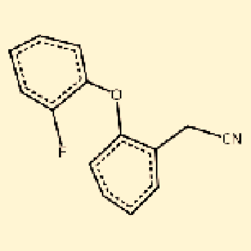 N#CCc1ccccc1Oc1ccccc1F